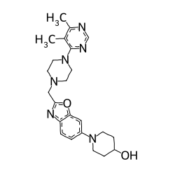 Cc1ncnc(N2CCN(Cc3nc4ccc(N5CCC(O)CC5)cc4o3)CC2)c1C